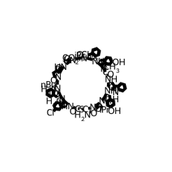 CCCC[C@H]1C(=O)N2CCC[C@@H]2C(=O)N[C@@H](CC(=O)O)C(=O)N[C@@H](C(C)C)C(=O)N(C)[C@@H](Cc2ccccc2)C(=O)N[C@@H](Cc2ccc(O)cc2)C(=O)N(C)CC(=O)N[C@@H](Cc2c[nH]c3ccccc23)C(=O)N[C@@H](Cc2ccc(O)cc2)C(=O)N[C@@H](CC(C)C)C(=O)N[C@H](C(N)=O)CSCC(=O)N[C@@H](Cc2cccc(Cl)c2)C(=O)N(C)[C@@H](Cc2ccccc2)C(=O)N1C